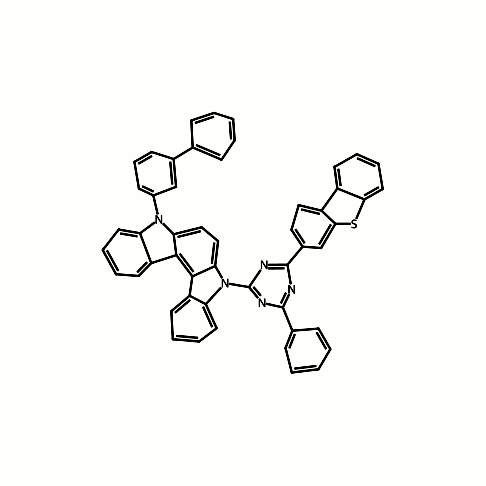 c1ccc(-c2cccc(-n3c4ccccc4c4c5c6ccccc6n(-c6nc(-c7ccccc7)nc(-c7ccc8c(c7)sc7ccccc78)n6)c5ccc43)c2)cc1